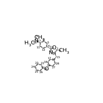 Cc1oc(-c2ccc(N(C)C)cc2)nc1Cc1ccc(Oc2ccccc2)cc1